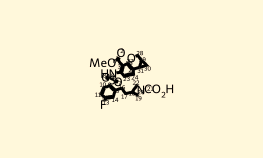 COC(=O)c1c(NS(=O)(=O)c2ccc(F)cc2CCC2CN(C(=O)O)C2)ccc2c1OCC1CC21